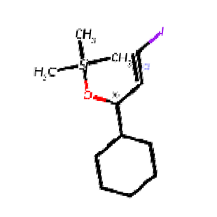 C[Si](C)(C)O[C@@H](/C=C/I)C1CCCCC1